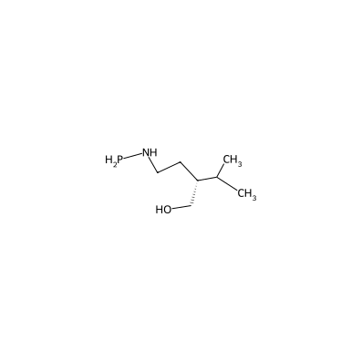 CC(C)[C@H](CO)CCNP